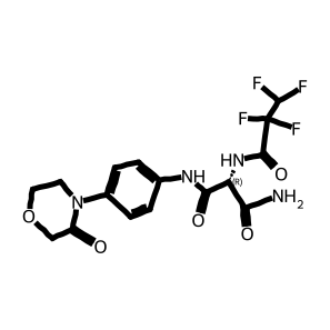 NC(=O)[C@@H](NC(=O)C(F)(F)C(F)F)C(=O)Nc1ccc(N2CCOCC2=O)cc1